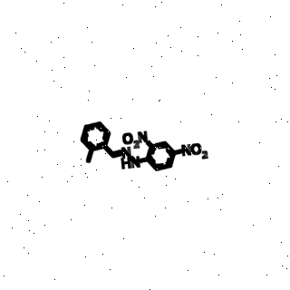 Cc1ccccc1C=NNc1ccc([N+](=O)[O-])cc1[N+](=O)[O-]